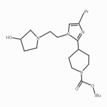 CC(C)c1cn(CCN2CCC(O)C2)c(C2CCN(C(=O)OC(C)(C)C)CC2)n1